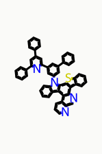 c1ccc(-c2cc(-c3cc(-c4ccccc4)cc(-c4ccccc4)n3)cc(-n3c4ccccc4c4c5c6cccnc6cnc5c5c6ccccc6sc5c43)c2)cc1